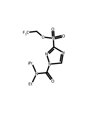 CCN(C(=O)n1cnc(S(=O)(=O)OCC(F)(F)F)n1)C(C)C